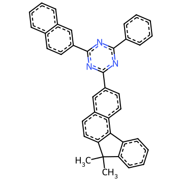 CC1(C)c2ccccc2-c2c1ccc1cc(-c3nc(-c4ccccc4)nc(-c4ccc5ccccc5c4)n3)ccc21